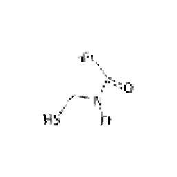 CCCC(=O)N(CC)CS